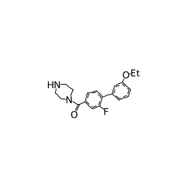 CCOc1cccc(-c2ccc(C(=O)N3CCNCC3)cc2F)c1